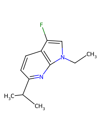 CCn1cc(F)c2ccc(C(C)C)nc21